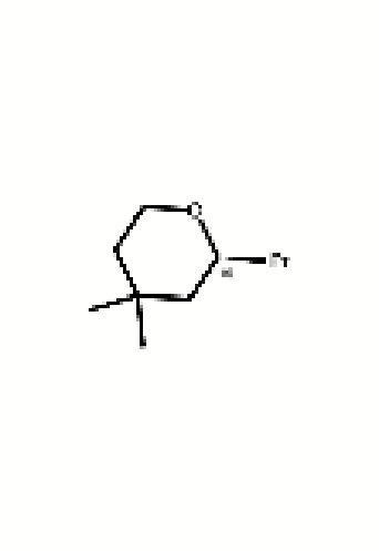 CC(C)[C@H]1CC(C)(C)CCO1